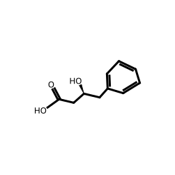 O=C(O)C[C@@H](O)Cc1ccccc1